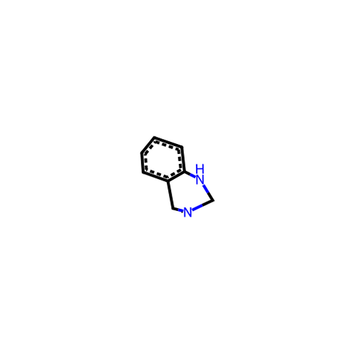 c1ccc2c(c1)C[N]CN2